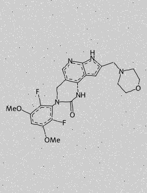 COc1cc(OC)c(F)c(N2Cc3cnc4[nH]c(CN5CCOCC5)cc4c3NC2=O)c1F